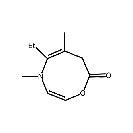 CC/C1=C(\C)CC(=O)OC=CN1C